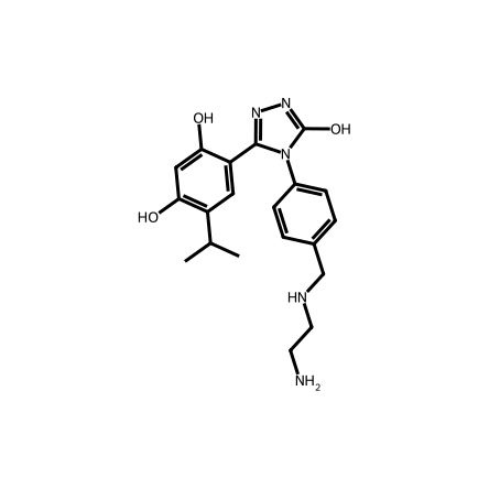 CC(C)c1cc(-c2nnc(O)n2-c2ccc(CNCCN)cc2)c(O)cc1O